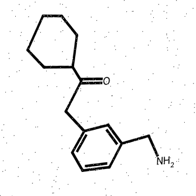 NCc1cccc(CC(=O)C2CCCCC2)c1